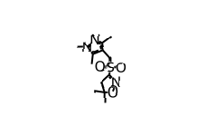 Cc1nn(C)c(C)c1CS(=O)(=O)C1=NOC(C)(C)C1